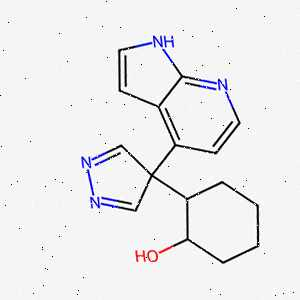 OC1CCCCC1C1(c2ccnc3[nH]ccc23)C=NN=C1